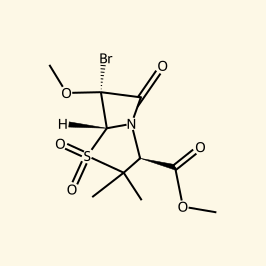 COC(=O)[C@@H]1N2C(=O)[C@](Br)(OC)[C@H]2S(=O)(=O)C1(C)C